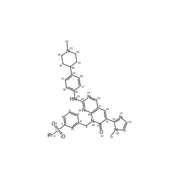 CC(C)S(=O)(=O)c1cccc(Cn2c(=O)c(-c3nccn3C)cc3cnc(Nc4ccc(C5CCN(C)CC5)cc4)nc32)c1